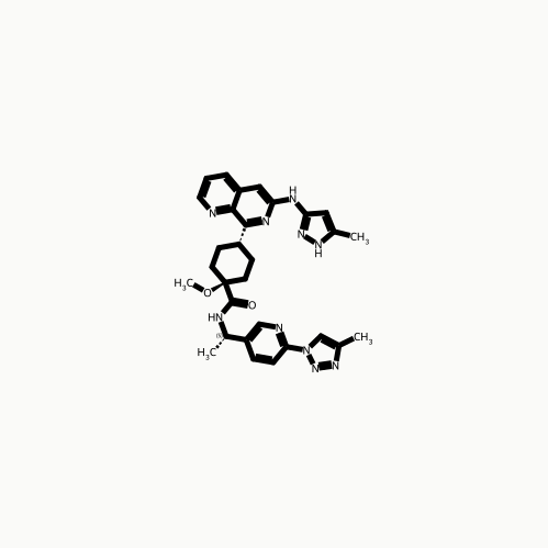 CO[C@]1(C(=O)N[C@@H](C)c2ccc(-n3cc(C)nn3)nc2)CC[C@@H](c2nc(Nc3cc(C)[nH]n3)cc3cccnc32)CC1